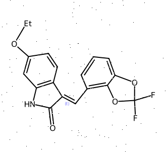 CCOc1ccc2c(c1)NC(=O)/C2=C/c1cccc2c1OC(F)(F)O2